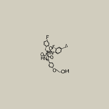 O=C(Nc1ccc(C2CC2)cc1F)[C@H](Cc1ccc(F)cc1)N1C(=O)N[C@H](c2ccc(OCCO)cc2)C1=O